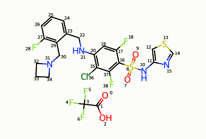 O=C(O)C(F)(F)F.O=S(=O)(Nc1cscn1)c1c(F)cc(NCc2cccc(F)c2CN2CCC2)c(Cl)c1F